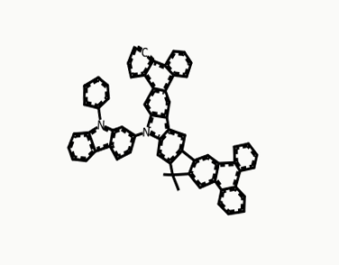 CC1(C)c2cc3c4ccccc4c4ccccc4c3cc2-c2cc3c4cc5c6ccccc6c6ccccc6c5cc4n(-c4ccc5c6ccccc6n(-c6ccccc6)c5c4)c3cc21